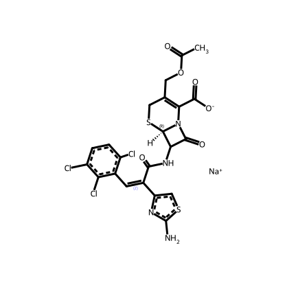 CC(=O)OCC1=C(C(=O)[O-])N2C(=O)C(NC(=O)/C(=C\c3c(Cl)ccc(Cl)c3Cl)c3csc(N)n3)[C@H]2SC1.[Na+]